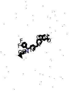 Cn1cc2c(cc1=O)C1(CCN(Cc3ccc(/C(=N/OCC4(O)CC4)c4ccc(F)c(F)c4)nc3)CC1)OC2